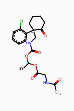 CC(C)C(OC(=O)CNC(=O)C(F)(F)F)OC(=O)NC[C@@]1(c2ccccc2Cl)CCCCC1=O